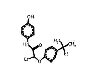 CCC(Oc1ccc(C(C)(C)CC)cc1)C(=O)Nc1ccc(O)cc1